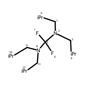 CC(C)CN(CC(C)C)C(F)(F)N(CC(C)C)CC(C)C